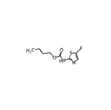 CCCCOC(=O)Nc1ncc(F)s1